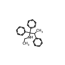 CCNC(c1ccccc1)(c1ccccc1)C(C)c1ccccc1